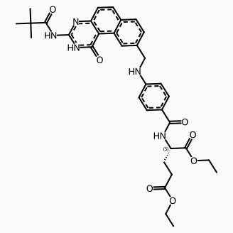 CCOC(=O)CC[C@H](NC(=O)c1ccc(NCc2ccc3ccc4nc(NC(=O)C(C)(C)C)[nH]c(=O)c4c3c2)cc1)C(=O)OCC